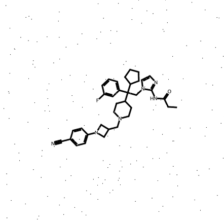 CCC(=O)Nc1nccn1CC(c1cccc(F)c1)(C1CCCC1)C1CCN(CC2CN(c3ccc(C#N)cc3)C2)CC1